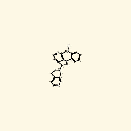 Nc1ncnc2c1c(-c1ccccc1CO)nn2C1CCc2ccccc2C1